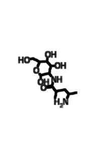 CC(N)CC(C)C(=O)NC1C(O)OC(CO)C(O)C1O